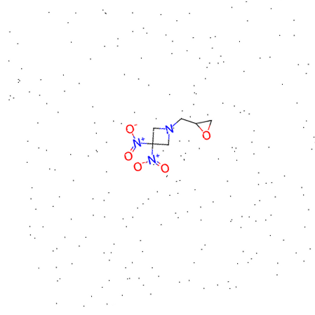 O=[N+]([O-])C1([N+](=O)[O-])CN(CC2CO2)C1